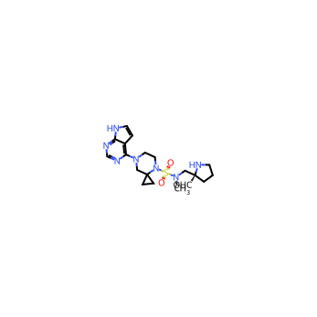 CN(C[C@@]1(C=O)CCCN1)S(=O)(=O)N1CCN(c2ncnc3[nH]ccc23)CC12CC2